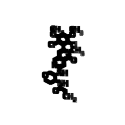 C=CC(=O)N[C@H]1CCOC[C@H]1Nc1cc2c(=O)n(C)c(-c3c(Cl)c(OC)cc(OC)c3Cl)cc2cn1